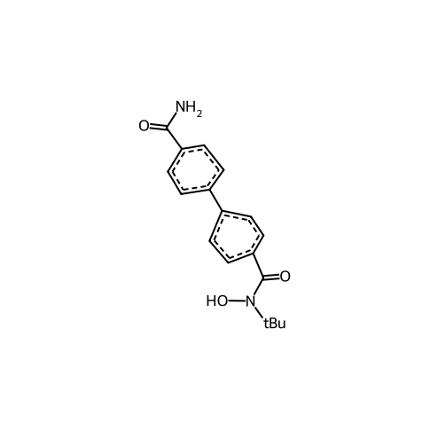 CC(C)(C)N(O)C(=O)c1ccc(-c2ccc(C(N)=O)cc2)cc1